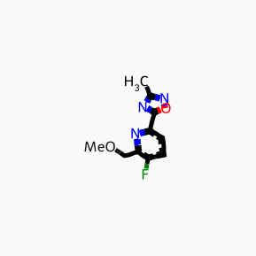 COCc1nc(-c2nc(C)no2)ccc1F